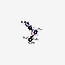 COc1cc(OC)c(/C=C/C(=O)Nc2ccc(OC)c(NC(=O)c3ccc(N4CCN(C)CC4)cc3)c2)c(OC)c1